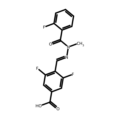 CN(N=Cc1c(F)cc(C(=O)O)cc1F)C(=O)c1ccccc1F